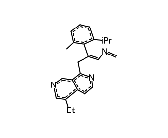 C=N/C=C(/Cc1nccc2c(CC)cncc12)c1c(C)cccc1C(C)C